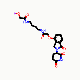 O=C(COI)NCCCCNC(=O)COc1cccc2c1CN(C1CCC(=O)NC1=O)C2=O